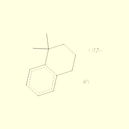 CO[C@H]1CC(C)(C)c2ccccc2[C@H]1C(C)C